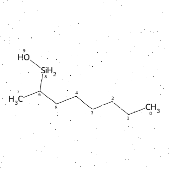 CCCCCCC(C)[SiH2]O